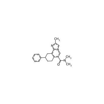 Cc1cn2cc(C(=O)N(C)C)c3c(c2n1)CC(c1ccccc1)CC3